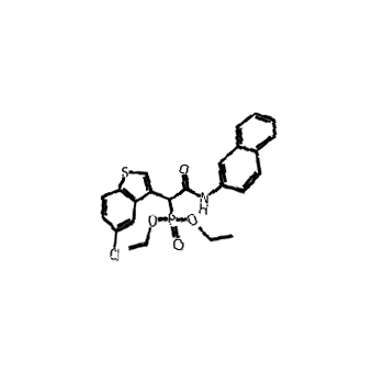 CCOP(=O)(OCC)C(C(=O)Nc1ccc2ccccc2c1)c1csc2ccc(Cl)cc12